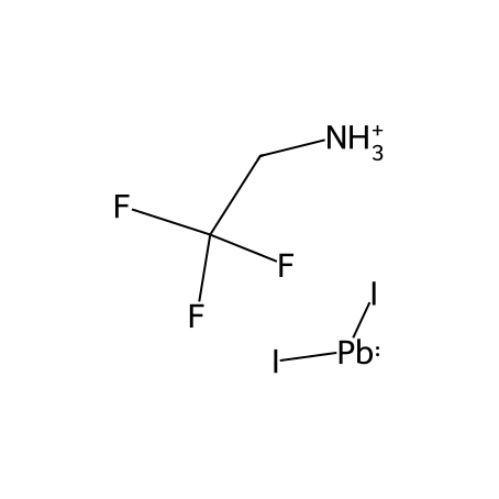 [I][Pb][I].[NH3+]CC(F)(F)F